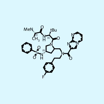 CN[C@@H](C)C(=O)N[C@H](C(=O)N1C[C@@H](NS(=O)(=O)c2ccccc2)CC1CN(CCc1ccc(F)cc1)C(=O)c1cn2cccnc2n1)C(C)(C)C